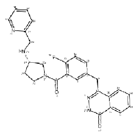 O=C(c1cc(Cc2n[nH]c(=O)c3ccccc23)ccc1F)N1CC[C@H](NCc2ccccn2)C1